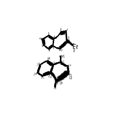 CCc1ccc2ccccc2c1.Cc1ccc(C)c2ccccc12